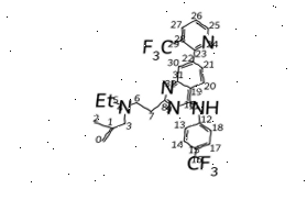 C=C(C)CN(CC)CCc1nc(Nc2ccc(C(F)(F)F)cc2)c2ccc(-c3ncccc3C(F)(F)F)cc2n1